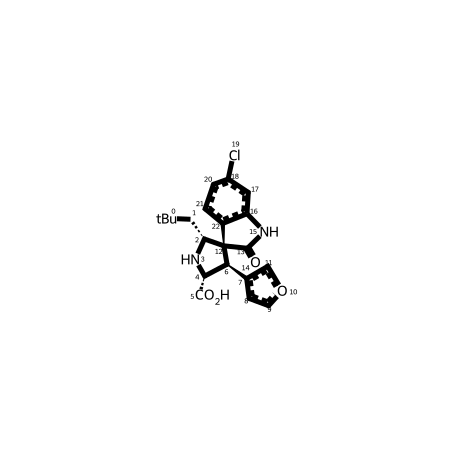 CC(C)(C)C[C@H]1N[C@@H](C(=O)O)[C@H](c2ccoc2)[C@@]12C(=O)Nc1cc(Cl)ccc12